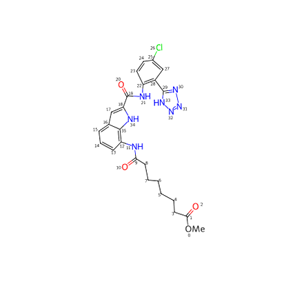 COC(=O)CCCCCCC(=O)Nc1cccc2cc(C(=O)Nc3ccc(Cl)cc3-c3nnn[nH]3)[nH]c12